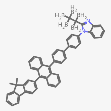 BC(B)(B)C(B)(B)c1nc2ccccc2n1-c1ccc(-c2ccc(-c3c4ccccc4c(-c4ccc5c(c4)C(C)(C)c4ccccc4-5)c4ccccc34)cc2)cc1